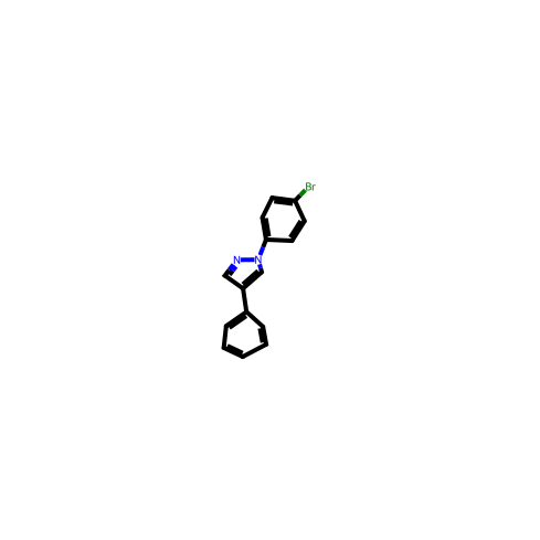 Brc1ccc(-n2cc(-c3ccccc3)cn2)cc1